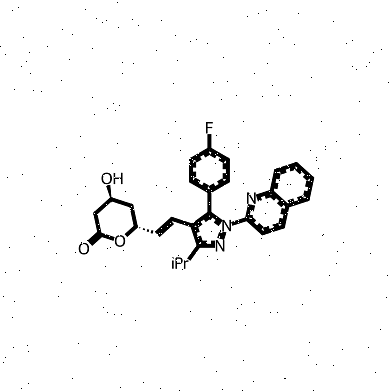 CC(C)c1nn(-c2ccc3ccccc3n2)c(-c2ccc(F)cc2)c1/C=C/[C@H]1C[C@H](O)CC(=O)O1